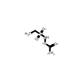 CCS(=O)(=O)NOC(C)=O